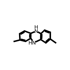 Cc1ccc2c(c1)Nc1cc(C)ccc1N2